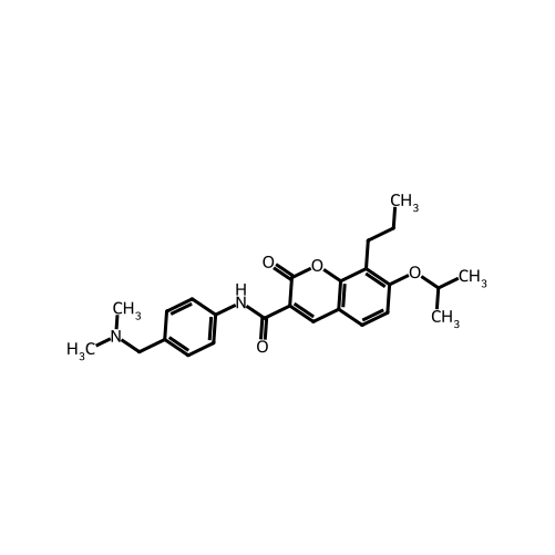 CCCc1c(OC(C)C)ccc2cc(C(=O)Nc3ccc(CN(C)C)cc3)c(=O)oc12